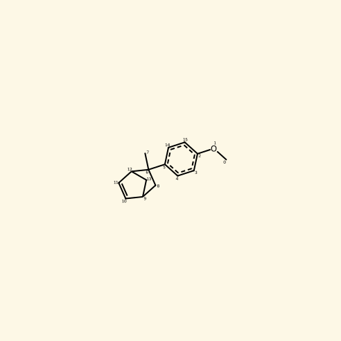 COc1ccc(C2(C)CC3C=CC2C3)cc1